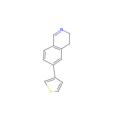 C1=NCCc2cc(-c3ccsc3)ccc21